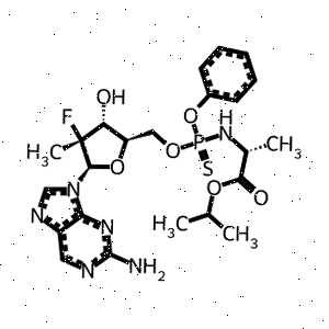 CC(C)OC(=O)[C@@H](C)NP(=S)(OC[C@H]1O[C@@H](n2cnc3cnc(N)nc32)[C@](C)(F)[C@@H]1O)Oc1ccccc1